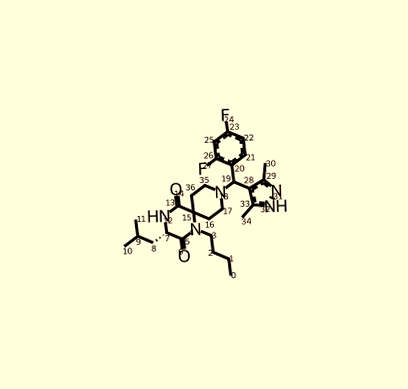 CCCCN1C(=O)[C@H](CC(C)C)NC(=O)C12CCN(C(c1ccc(F)cc1F)c1c(C)n[nH]c1C)CC2